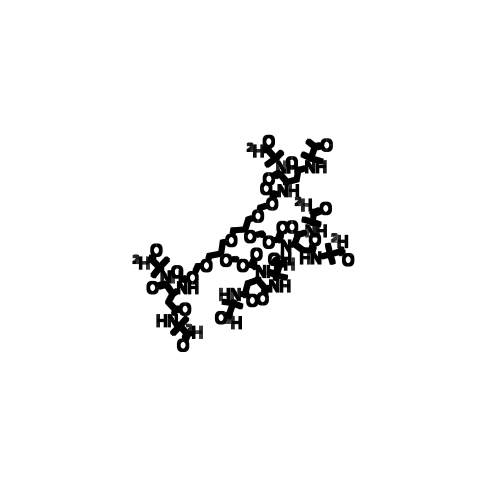 [2H]C(=O)C(C)(C)NC(=O)CC(NC(=O)OCOCC(COCC(COCOC(=O)NC(CC(=O)NC(C)(C)C(C)=O)C(=O)NC(C)(C)C([2H])=O)OCOC(=O)NC(CC(=O)NC(C)(C)C([2H])=O)C(=O)NC(C)(C)C([2H])=O)OCOC(=O)NC(CC(=O)NC(C)(C)C([2H])=O)C(=O)NC(C)(C)C([2H])=O)C(=O)NC(C)(C)C([2H])=O